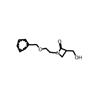 O=C1C(CO)CN1CCOCc1ccccc1